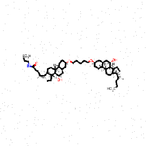 C[C@H](CCC(=O)NCCS(=O)(=O)O)[C@H]1CC[C@H]2C3[C@@H](O)CC4C[C@H](OCCCCCO[C@@H]5CC[C@@]6(C)C(C5)C[C@H](O)[C@H]5[C@@H]7CC[C@H]([C@H](C)CCC(=O)O)[C@@]7(C)CC[C@@H]56)CC[C@]4(C)[C@H]3CC[C@]12C